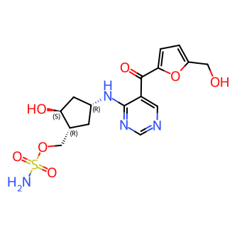 NS(=O)(=O)OC[C@H]1C[C@@H](Nc2ncncc2C(=O)c2ccc(CO)o2)C[C@@H]1O